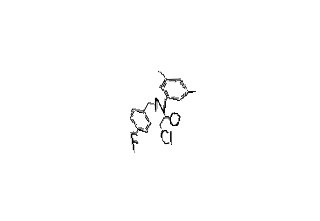 Cc1cc(C)cc(N(Cc2ccc(F)cc2)C(=O)CCl)c1